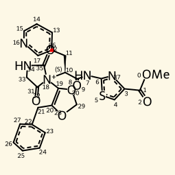 COC(=O)c1csc(NC(=O)[C@H](Cc2cccnc2)[N+]2(C3=C(Cc4ccccc4)OCO3)C(=O)CNC2=O)n1